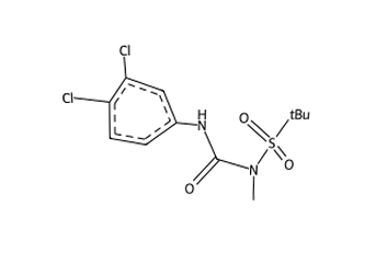 CN(C(=O)Nc1ccc(Cl)c(Cl)c1)S(=O)(=O)C(C)(C)C